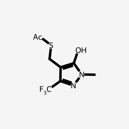 CC(=O)SCc1c(C(F)(F)F)nn(C)c1O